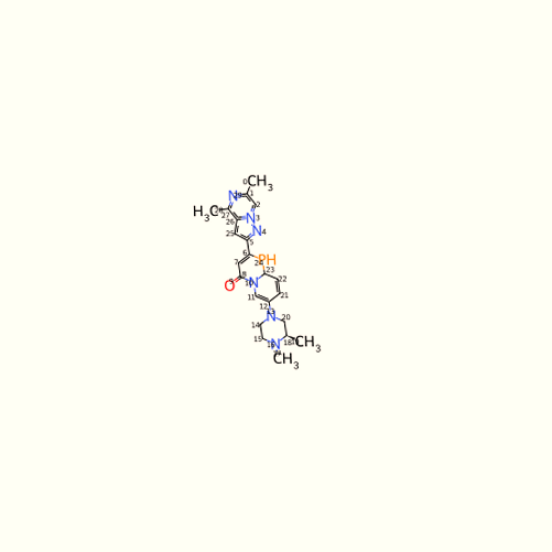 Cc1cn2nc(C3=CC(=O)N4C=C(N5CCN(C)[C@H](C)C5)C=CC4P3)cc2c(C)n1